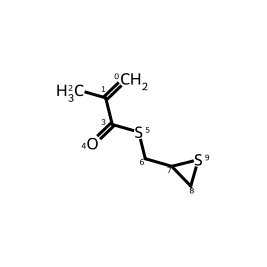 C=C(C)C(=O)SCC1CS1